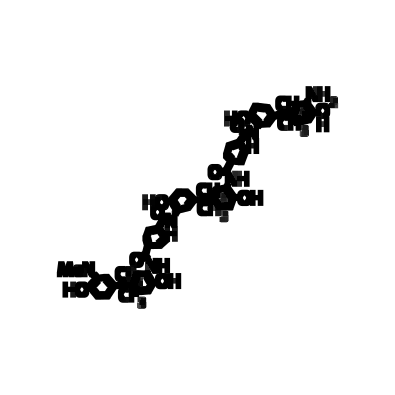 CNc1cc(C(c2ccc(O)c(NC(=O)c3ccc(C(=O)Nc4cc(C(C)(C)c5ccc(O)c(NC(=O)c6ccc(C(=O)Nc7cc(C(C)(C)c8ccc(O)c(N)c8)ccc7O)cc6)c5)ccc4O)cc3)c2)(C(F)(F)F)C(F)(F)F)ccc1O